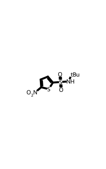 CC(C)(C)NS(=O)(=O)c1ccc([N+](=O)[O-])s1